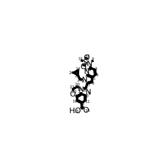 CN(c1ccc2cc(-c3nc4cc(C(=O)O)cc5c4n3CCO5)n(CC3CC3)c2n1)S(C)(=O)=O